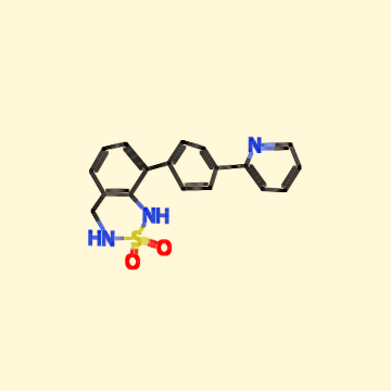 O=S1(=O)NCc2cccc(-c3ccc(-c4ccccn4)cc3)c2N1